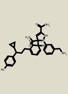 N#Cc1ccc(C(CCC2=CC=CC(N)(C3(C(N)=O)C=C(C(N)=O)NN3c3cccc(CN)c3)C2F)C2CC2)cc1